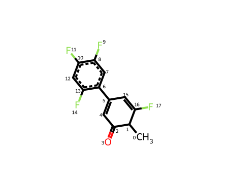 CC1C(=O)C=C(c2cc(F)c(F)cc2F)C=C1F